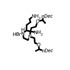 Br.CCCCCCCCCCC(C)OCCN1CCNC(CCCN)C1(N)CCOC(C)CCCCCCCCCC